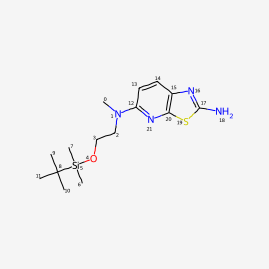 CN(CCO[Si](C)(C)C(C)(C)C)c1ccc2nc(N)sc2n1